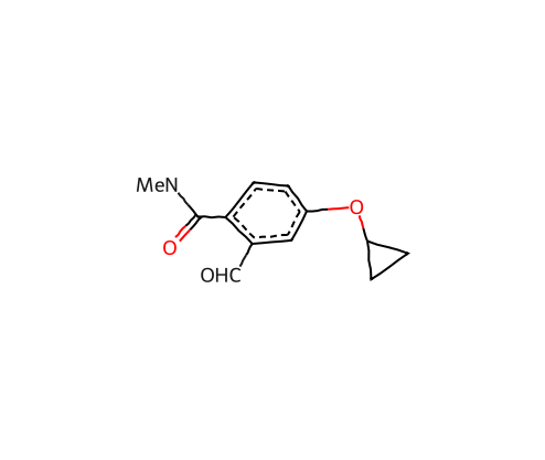 CNC(=O)c1ccc(OC2CC2)cc1C=O